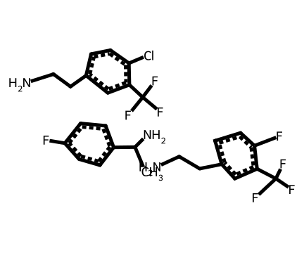 CC(N)c1ccc(F)cc1.NCCc1ccc(Cl)c(C(F)(F)F)c1.NCCc1ccc(F)c(C(F)(F)F)c1